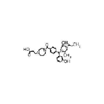 CCCN1C[C@H](C)N([C@H](c2ccc(C(=O)N3CCCN(CCC(=O)O)CC3)cc2)c2cccc(O)c2)C[C@H]1C